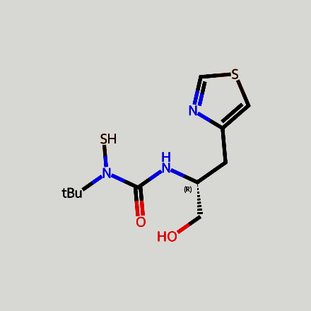 CC(C)(C)N(S)C(=O)N[C@@H](CO)Cc1cscn1